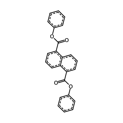 O=C(Oc1ccccc1)c1cccc2c(C(=O)Oc3ccccc3)cccc12